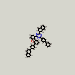 c1ccc(-c2ccc(-c3nc(-c4ccc5ccccc5c4)nc(-c4cccc5oc6c(-c7ccc(-c8ccc9ccccc9c8)cc7)cccc6c45)n3)cc2)cc1